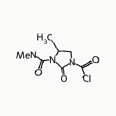 CNC(=O)N1C(=O)N(C(=O)Cl)CC1C